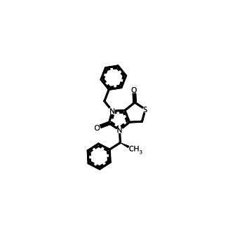 C[C@@H](c1ccccc1)n1c2c(n(Cc3ccccc3)c1=O)C(=O)SC2